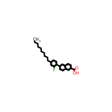 CCCCCCCCCCc1ccc(-c2ccc3cc(C(=O)O)ccc3c2)c(F)c1